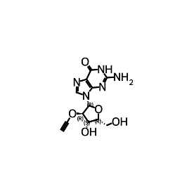 C#CO[C@@H]1[C@@H](O)[C@@H](CO)O[C@H]1n1cnc2c(=O)[nH]c(N)nc21